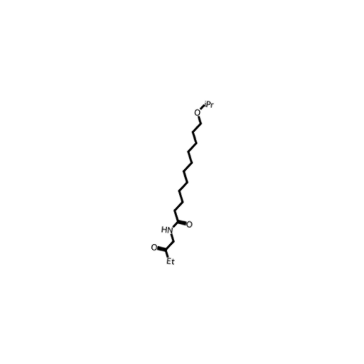 CCC(=O)CNC(=O)CCCCCCCCCCOC(C)C